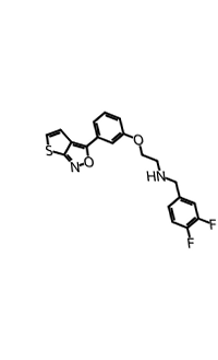 Fc1ccc(CNCCOc2cccc(-c3onc4sccc34)c2)cc1F